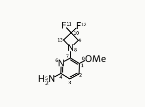 COc1ccc(N)nc1N1CC(F)(F)C1